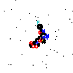 CC(C)(C)[S+]([O-])N[C@@H](CCCCCC1(c2ncco2)OCCO1)c1oc(-c2ccc(F)cc2)nc1C#N